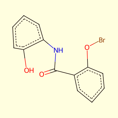 O=C(Nc1ccccc1O)c1ccccc1OBr